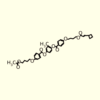 CC(=O)OCCCCOc1ccc(C(=O)Oc2ccc(OC(=O)c3ccc(OCCCCOC(=O)/C=C/C4CCC4)cc3)c(C)c2)cc1